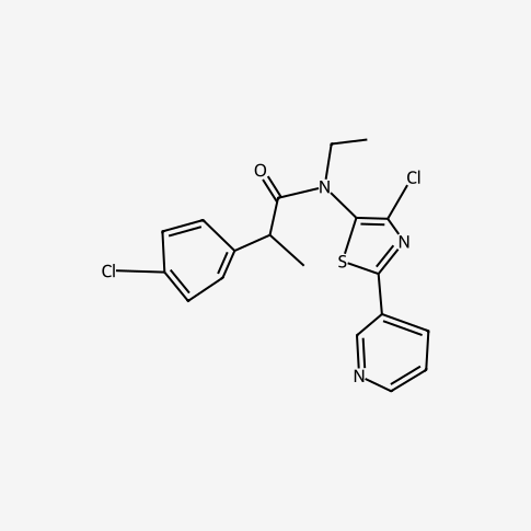 CCN(C(=O)C(C)c1ccc(Cl)cc1)c1sc(-c2cccnc2)nc1Cl